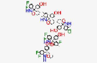 Cc1c(Cl)ccc2c1NC(=O)C2(c1ccc(O)cc1)C1CCCCC1.Cc1ccc(C2(c3ccc(O)cc3)C(=O)Nc3c2ccc(F)c3F)cc1F.Cc1ccc2c(c1C)NC(=O)C2(c1ccc(O)cc1)C1CCCCC1.O=C1Nc2c(ccc(F)c2F)C1(CC1CCCC1)c1ccc(O)cc1.O=C1Nc2c(ccc(F)c2F)C1(c1ccc(O)cc1)C1CCCCC1